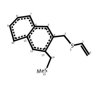 C=CSCc1cc2ccccc2cc1CSC